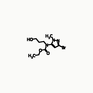 CCOC(=O)N(CCCO)c1cc(Br)nn1C